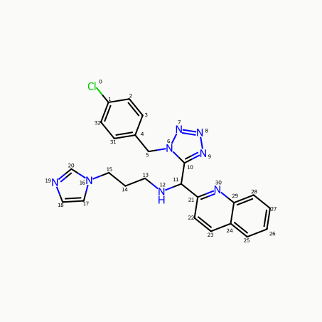 Clc1ccc(Cn2nnnc2C(NCCCn2ccnc2)c2ccc3ccccc3n2)cc1